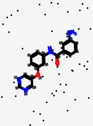 Nc1cccc(C(=O)Nc2cccc(Oc3cncnc3)c2)c1